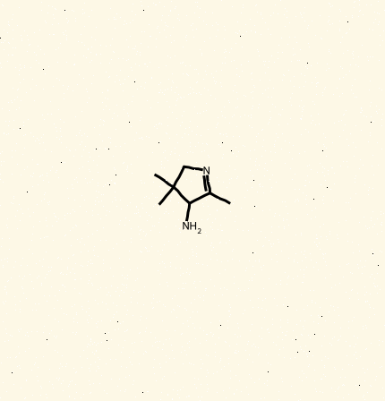 CC1=NCC(C)(C)C1N